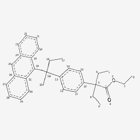 CCOC(=O)C(CC)(CC)c1ccc(C(C)(CC)c2c3ccccc3cc3ccccc23)cc1